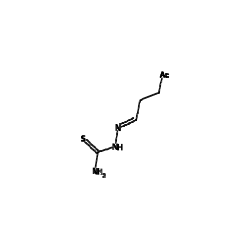 CC(=O)CCC=NNC(N)=S